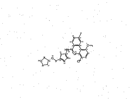 COc1ccc(Cl)c(F)c1-c1cc(C)ncc1C(=O)Nc1nnc(CO[C@@H]2CCOC2)s1